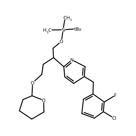 CC(C)(C)[Si](C)(C)OCC(CCOC1CCCCO1)c1ccc(Cc2cccc(Cl)c2F)cn1